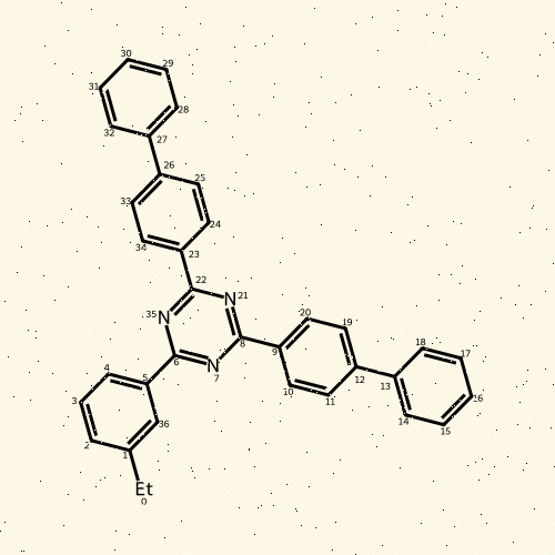 CCc1cccc(-c2nc(-c3ccc(-c4ccccc4)cc3)nc(-c3ccc(-c4ccccc4)cc3)n2)c1